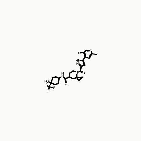 Cc1cc(-c2cc(C(=O)N3CCC(C(=O)NC4CCC(O)(C(F)(F)F)CC4)CC34CC4)n[nH]2)c(F)cn1